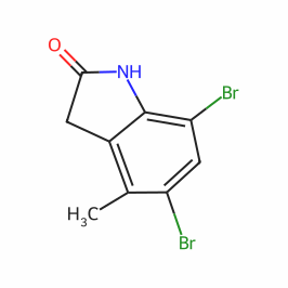 Cc1c(Br)cc(Br)c2c1CC(=O)N2